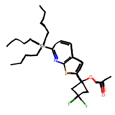 CCC[CH2][Sn]([CH2]CCC)([CH2]CCC)[c]1ccc2cc(C3(OC(C)=O)CC(F)(F)C3)sc2n1